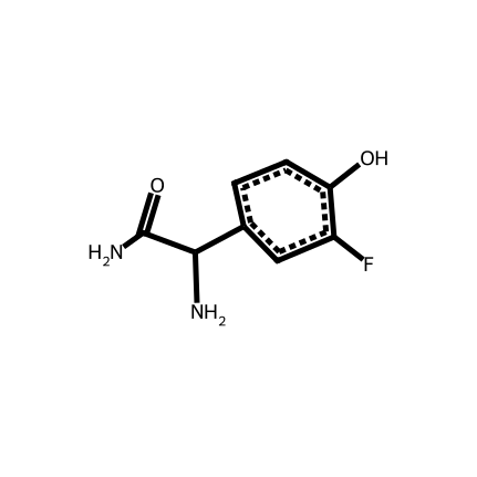 NC(=O)C(N)c1ccc(O)c(F)c1